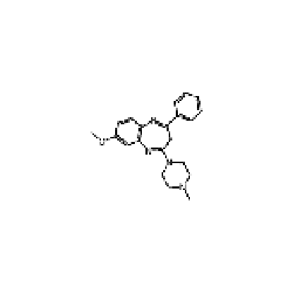 COc1ccc2c(c1)N=C(N1CCN(C)CC1)CC(c1ccccc1)=N2